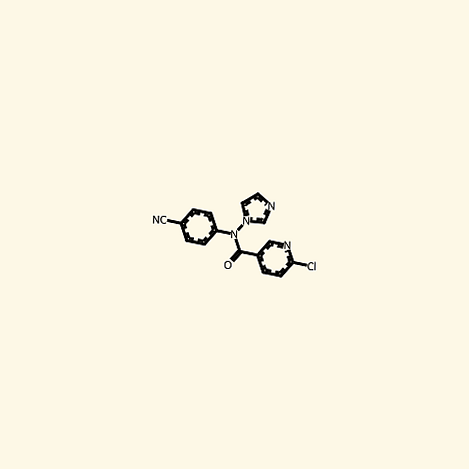 N#Cc1ccc(N(C(=O)c2ccc(Cl)nc2)n2ccnc2)cc1